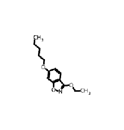 CCCCCOc1ccc2c(OCC)noc2c1